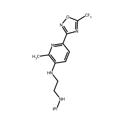 Cc1nc(-c2noc(C(F)(F)F)n2)ccc1NCCNC(C)C